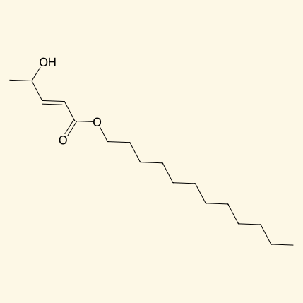 CCCCCCCCCCCCOC(=O)C=CC(C)O